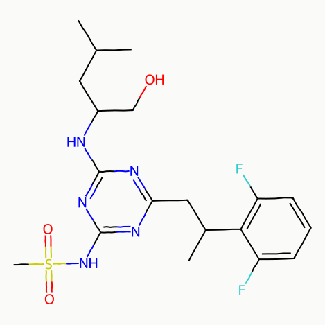 CC(C)CC(CO)Nc1nc(CC(C)c2c(F)cccc2F)nc(NS(C)(=O)=O)n1